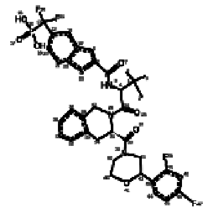 CC(C)(C)[C@H](NC(=O)c1cc2cc(C(F)(F)P(=O)(O)O)ccc2s1)C(=O)N1Cc2ccccc2C[C@H]1C(=O)N1CCOC(c2ccc(F)cc2F)C1